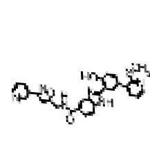 COc1ncccc1-c1ccc(O)c(-c2nc3cc(C(=O)NCc4cc(-c5cccnc5)no4)ccc3[nH]2)c1